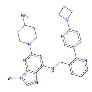 CC(C)n1cnc2c(NCc3cccnc3-c3ccc(N4CCC4)nc3)nc(N3CCC(N)CC3)nc21